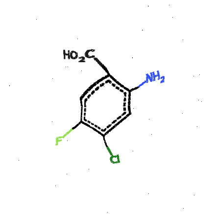 Nc1cc(Cl)c(F)cc1C(=O)O